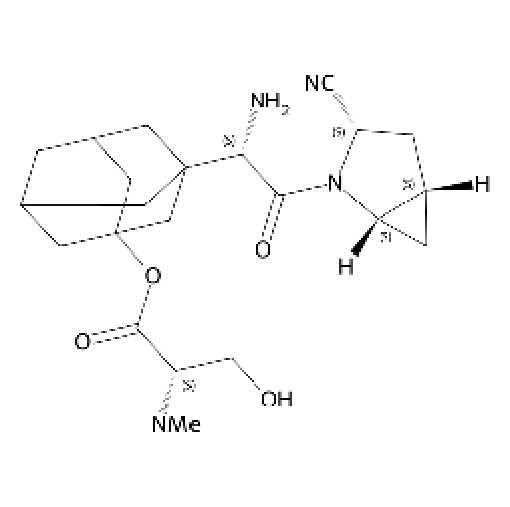 CN[C@@H](CO)C(=O)OC12CC3CC(C1)CC([C@H](N)C(=O)N1[C@H](C#N)C[C@@H]4C[C@@H]41)(C3)C2